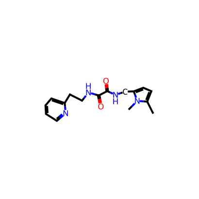 Cc1ccc(CNC(=O)C(=O)NCCc2ccccn2)n1C